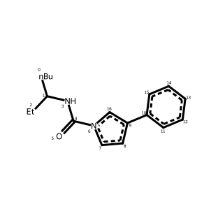 CCCCC(CC)NC(=O)n1ccc(-c2ccccc2)c1